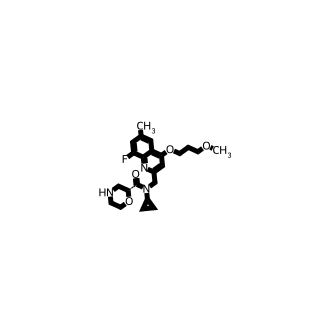 COCCCOc1cc(CN(C(=O)[C@H]2CNCCO2)C2CC2)nc2c(F)cc(C)cc12